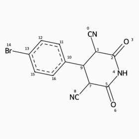 N#CC1C(=O)NC(=O)C(C#N)C1c1ccc(Br)cc1